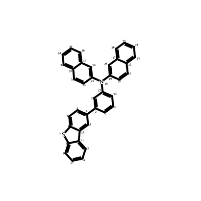 c1cc(-c2ccc3sc4ccccc4c3c2)cc(N(c2ccc3ccccc3c2)c2ccc3ccccc3c2)c1